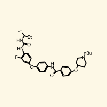 CCCCN1CCC(Oc2ccc(C(=O)Nc3ccc(Oc4ccc(NC(=O)NC(CC)CC)c(F)c4)cc3)cc2)CC1